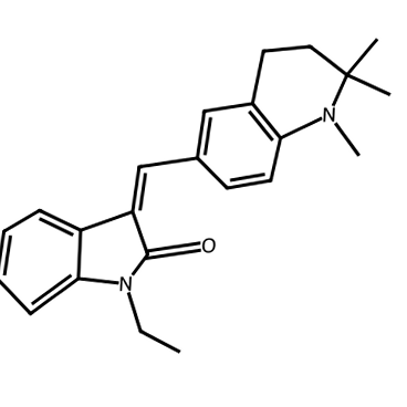 CCN1C(=O)/C(=C\c2ccc3c(c2)CCC(C)(C)N3C)c2ccccc21